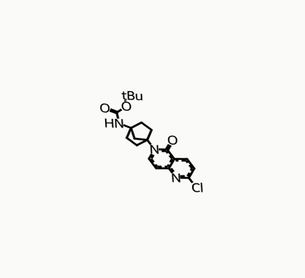 CC(C)(C)OC(=O)NC12CCC(n3ccc4nc(Cl)ccc4c3=O)(CC1)C2